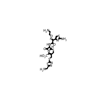 NCCON=C(C(=O)NC1C(=O)N2C(C(=O)O)=C(CSc3nnc(CN)s3)CS[C@@H]12)c1csc(N)n1